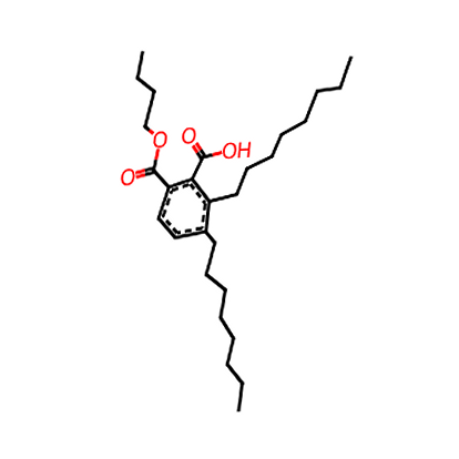 CCCCCCCCc1ccc(C(=O)OCCCC)c(C(=O)O)c1CCCCCCCC